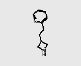 c1ccc(CCC2CNC2)nc1